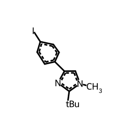 Cn1cc(-c2ccc(I)cc2)nc1C(C)(C)C